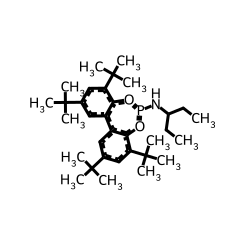 CCC(CC)Np1oc2c(C(C)(C)C)cc(C(C)(C)C)cc2c2cc(C(C)(C)C)cc(C(C)(C)C)c2o1